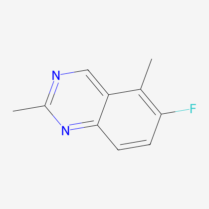 Cc1ncc2c(C)c(F)ccc2n1